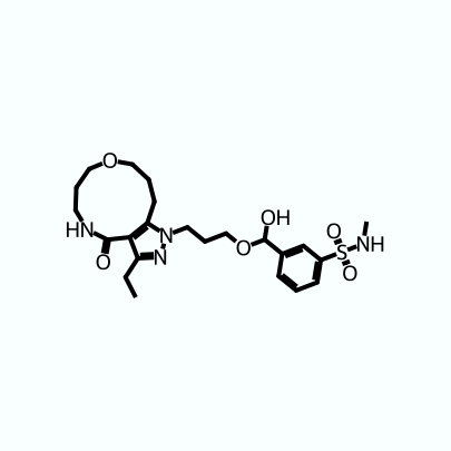 CCc1nn(CCCOC(O)c2cccc(S(=O)(=O)NC)c2)c2c1C(=O)NCCCOCCC2